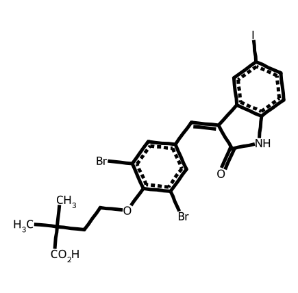 CC(C)(CCOc1c(Br)cc(C=C2C(=O)Nc3ccc(I)cc32)cc1Br)C(=O)O